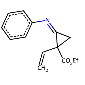 C=CC1(C(=O)OCC)CC1=Nc1ccccc1